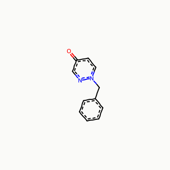 O=c1ccn(Cc2ccccc2)nc1